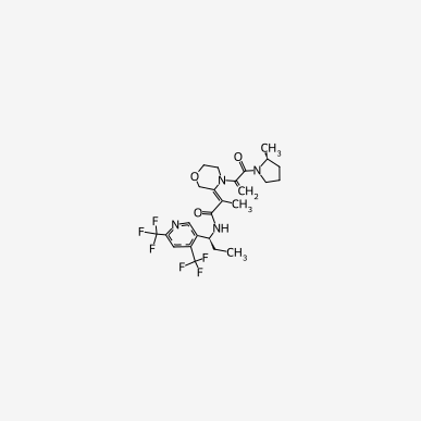 C=C(C(=O)N1CCC[C@@H]1C)N1CCOC/C1=C(/C)C(=O)N[C@@H](CC)c1cnc(C(F)(F)F)cc1C(F)(F)F